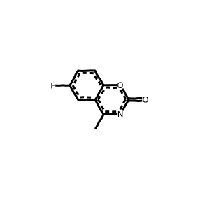 Cc1nc(=O)oc2ccc(F)cc12